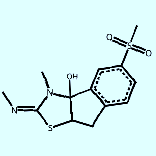 CN=C1SC2Cc3ccc(S(C)(=O)=O)cc3C2(O)N1C